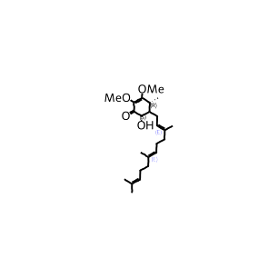 COC1=C(OC)[C@H](C)C(C/C=C(\C)CC/C=C(\C)CCC=C(C)C)[C@H](O)C1=O